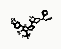 COc1ccc(-c2nc3c(C(=O)N4CCN([C@H](CO)c5ccco5)C[C@H]4C)cnn3c(C(F)(F)F)c2C)cc1